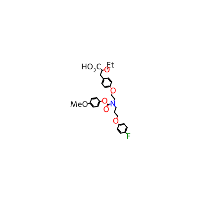 CCOC(Cc1ccc(OCCN(CCCOc2ccc(F)cc2)C(=O)Oc2ccc(OC)cc2)cc1)C(=O)O